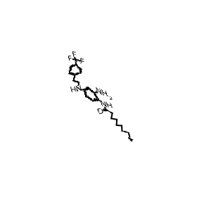 CCCCCCCCCC(=O)Nc1ccc(NCCc2ccc(C(F)(F)F)cc2)cc1N